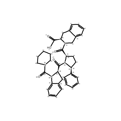 O=C(O)[C@H]1Cc2ccccc2CN1C(=O)[C@H]1CC[C@@H](c2ccccc2)N1C(=O)[C@H]1Cc2ccccc2N1C(=O)N1CCCCC1